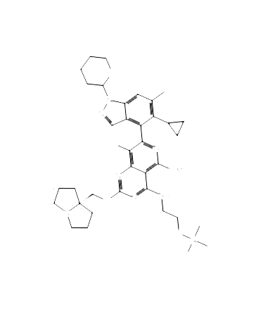 COc1nc(-c2c(C3CC3)c(C)cc3c2cnn3C2CCCCO2)c(F)c2nc(OC[C@@]34CCCN3C[C@H](F)C4)nc(NCCO[Si](C)(C)C(C)(C)C)c12